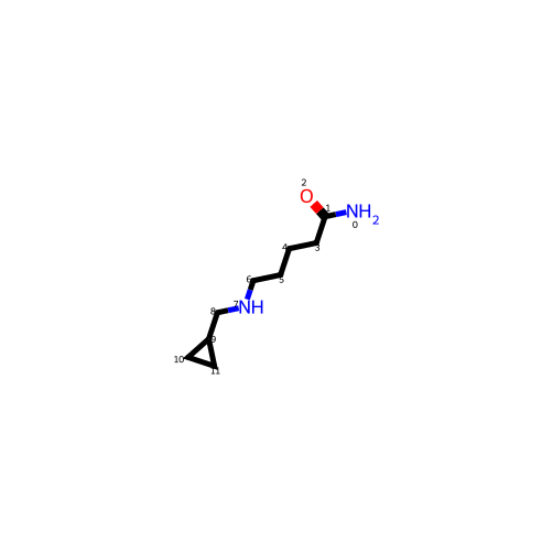 NC(=O)CCCCNCC1CC1